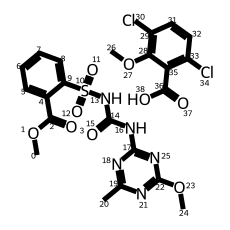 COC(=O)c1ccccc1S(=O)(=O)NC(=O)Nc1nc(C)nc(OC)n1.COc1c(Cl)ccc(Cl)c1C(=O)O